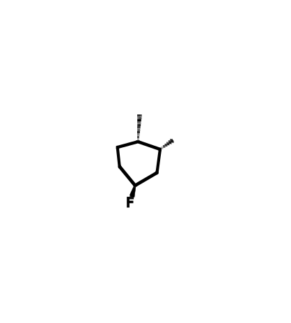 C[C@@H]1C[C@@H](F)CC[C@@H]1C